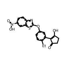 CCc1ccc(Oc2nc3ccc([N+](=O)O)cc3s2)cc1C1=C(O)CCC1=O